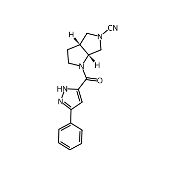 N#CN1C[C@H]2CCN(C(=O)c3cc(-c4ccccc4)n[nH]3)[C@H]2C1